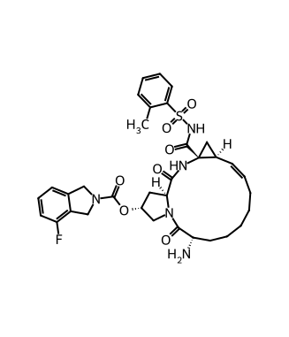 Cc1ccccc1S(=O)(=O)NC(=O)[C@@]12C[C@H]1/C=C\CCCCC[C@H](N)C(=O)N1C[C@H](OC(=O)N3Cc4cccc(F)c4C3)C[C@H]1C(=O)N2